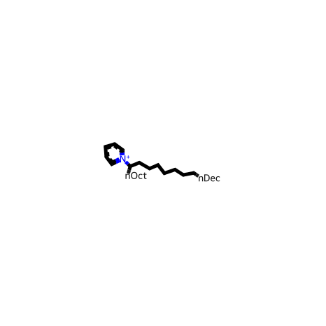 CCCCCCCCCCCCCCCCCC(CCCCCCCC)[n+]1ccccc1